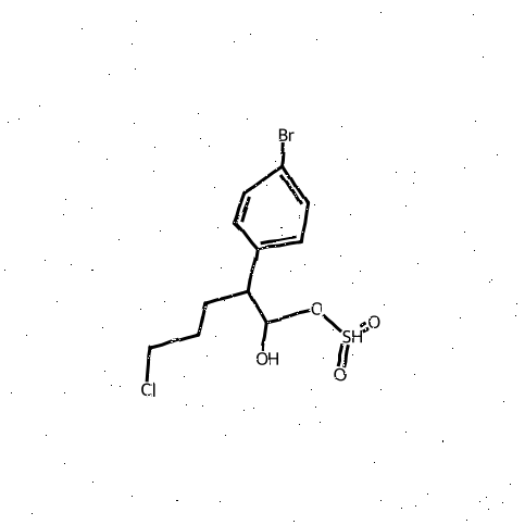 O=[SH](=O)OC(O)C(CCCCl)c1ccc(Br)cc1